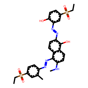 CCS(=O)(=O)c1ccc(/N=N/c2c(NC)ccc3c(O)c(/N=N/c4cc(S(=O)(=O)CC)ccc4O)ccc23)c(C)c1